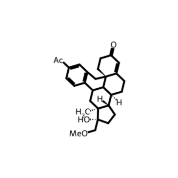 COC[C@]1(O)CC[C@H]2[C@@H]3CCC4=CC(=O)CC[C@@]45Cc4cc(C(C)=O)ccc4C(C[C@@]21C)C35